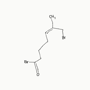 CC(=CCCCC(=O)Br)CBr